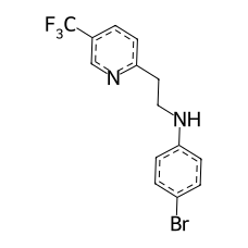 FC(F)(F)c1ccc(CCNc2ccc(Br)cc2)nc1